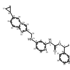 CC(OC(=O)Nc1cc(NCc2cn3cc(C4CC4)ccc3n2)ccn1)c1cccc(Cl)c1